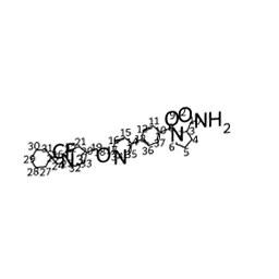 NC(=O)C1CCCN1C(=O)c1ccc(-c2ccc(OCC3CCN(CC4(C(F)(F)F)CCCCC4)CC3)nc2)cc1